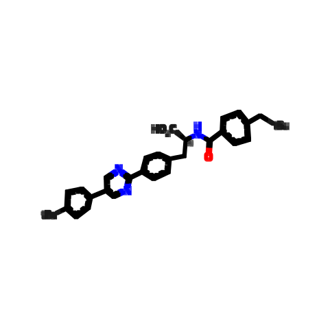 CC(C)(C)Cc1ccc(C(=O)N[C@@H](Cc2ccc(-c3ncc(-c4ccc(C(C)(C)C)cc4)cn3)cc2)C(=O)O)cc1